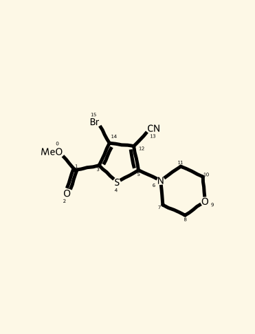 COC(=O)c1sc(N2CCOCC2)c(C#N)c1Br